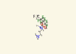 CN(C)CCCN(C)S(=O)(=O)C(F)(F)C(F)(F)C(F)(F)C(F)(F)F